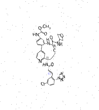 COC(=O)Nc1ccc2c(c1)N[C@@H](C(=O)NC1COC1)CCCC[C@H](NC(=O)/C=C/c1cc(Cl)ccc1-n1cnnn1)c1cc-2ccn1